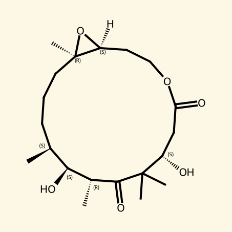 C[C@H]1CCC[C@@]2(C)O[C@H]2CCOC(=O)C[C@H](O)C(C)(C)C(=O)[C@H](C)[C@H]1O